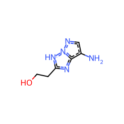 Nc1cnn2[nH]c(CCO)nc12